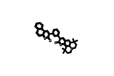 CC1(C)CCN2CCC(C)(C)c3c2c1cc1cc(-c2cccc(-c4cc5c(ccc6ccccc65)oc4=O)c2)c(=O)oc31